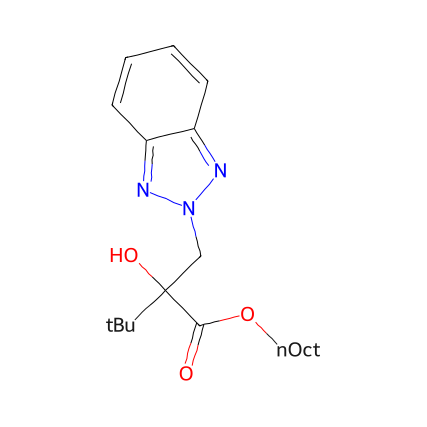 CCCCCCCCOC(=O)C(O)(Cn1nc2ccccc2n1)C(C)(C)C